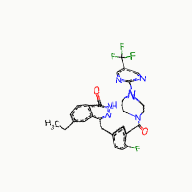 CCc1ccc2c(=O)[nH]nc(Cc3ccc(F)c(C(=O)N4CCN(c5ncc(C(F)(F)F)cn5)CC4)c3)c2c1